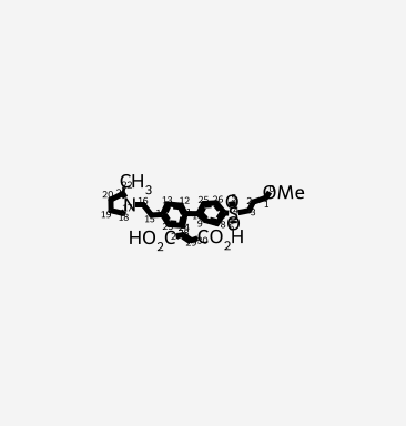 COCCCS(=O)(=O)c1ccc(-c2ccc(CCN3CCC[C@H]3C)cc2)cc1.O=C(O)C=CC(=O)O